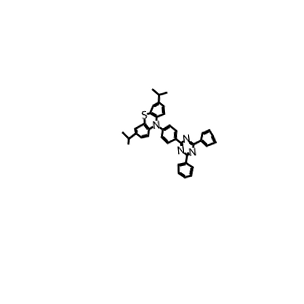 CC(C)c1ccc2c(c1)Sc1cc(C(C)C)ccc1N2c1ccc(-c2nc(-c3ccccc3)nc(-c3ccccc3)n2)cc1